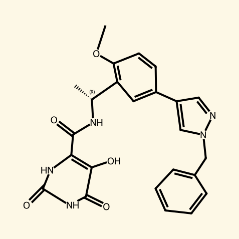 COc1ccc(-c2cnn(Cc3ccccc3)c2)cc1[C@@H](C)NC(=O)c1[nH]c(=O)[nH]c(=O)c1O